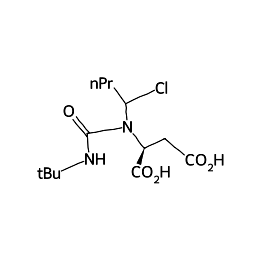 CCCC(Cl)N(C(=O)NC(C)(C)C)[C@@H](CC(=O)O)C(=O)O